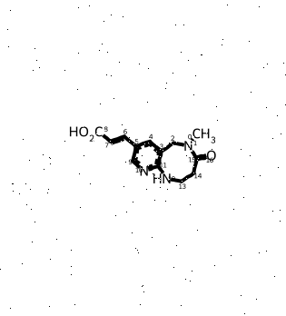 CN1Cc2cc(/C=C/C(=O)O)cnc2NCCC1=O